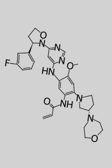 C=CC(=O)Nc1cc(Nc2cc(N3OCC[C@@H]3c3cccc(F)c3)ncn2)c(OC)cc1N1CC[C@H](N2CCOCC2)C1